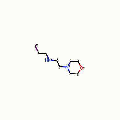 ICCNCCN1CCOCC1